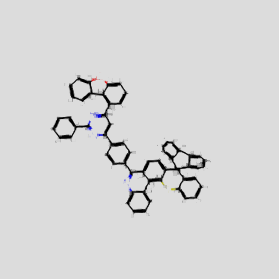 c1ccc(-c2nc(-c3ccc(-c4nc5ccccc5c5c6c(ccc45)C4(c5ccccc5S6)c5ccccc5-c5ccccc54)cc3)cc(-c3cccc4oc5ccccc5c34)n2)cc1